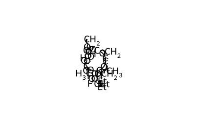 C=CCOC12C[C@]34CCC5CC(=C)C(CCC6C[C@@H](C)C(=C)C(C[C@@H]7O[C@H]8C[C@@H](O[Si](CC)(CC)CC)[C@@H](CI)O[C@H]8[C@H](C)C7OC(=O)CC7CCC8O[C@H](C(O1)C(O3)[C@H]8O7)C2O4)O6)O5